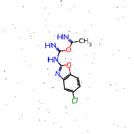 CC(=N)OC(=N)Nc1nc2cc(Cl)ccc2o1